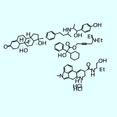 CC(CCc1ccccc1)NC(C)C(O)c1ccc(O)cc1.CCN(CC)CC#CCOC(=O)C(O)(c1ccccc1)C1CCCCC1.CC[C@@H](CO)NC(=O)[C@@H]1C=C2c3cccc4c3c(cn4C)C[C@H]2N(C)C1.C[C@]1(O)CC[C@H]2[C@@H]3CCC4=CC(=O)CC[C@]4(C)[C@@]3(F)[C@@H](O)C[C@@]21C.Cl.Cl